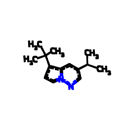 CC(C)c1cnn2ccc(C(C)(C)C)c2c1